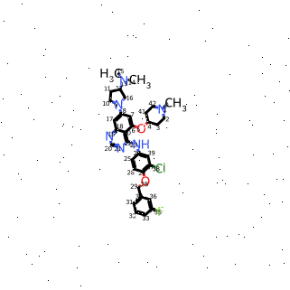 CN1CCC(Oc2cc(N3CC[C@@H](N(C)C)C3)cc3ncnc(Nc4ccc(OCc5cccc(F)c5)c(Cl)c4)c23)CC1